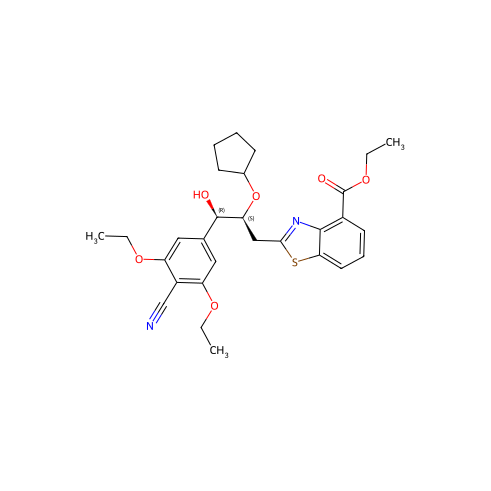 CCOC(=O)c1cccc2sc(C[C@H](OC3CCCC3)[C@H](O)c3cc(OCC)c(C#N)c(OCC)c3)nc12